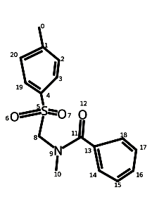 Cc1ccc(S(=O)(=O)CN(C)C(=O)c2ccccc2)cc1